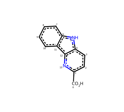 O=C(O)c1ccc2[nH]c3ccccc3c2n1